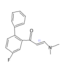 CN(C)/C=C/C(=O)c1cc(F)ccc1-c1ccccc1